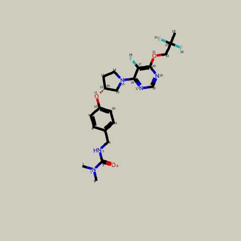 CN(C)C(=O)NCc1ccc(O[C@@H]2CCN(c3ncnc(OCC(C)(F)F)c3F)C2)cc1